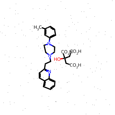 Cc1cccc(N2CCN(CCc3ccc4ccccc4n3)CC2)c1.O=C(O)CC(O)(CC(=O)O)C(=O)O